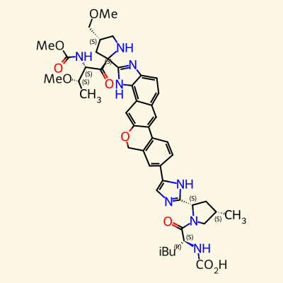 CC[C@@H](C)[C@H](NC(=O)O)C(=O)N1C[C@@H](C)C[C@H]1c1ncc(-c2ccc3c(c2)COc2cc4c(ccc5nc([C@]6(C(=O)[C@@H](NC(=O)OC)[C@H](C)OC)C[C@H](COC)CN6)[nH]c54)cc2-3)[nH]1